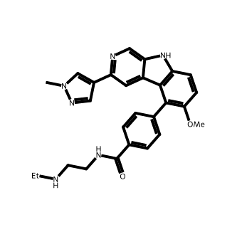 CCNCCNC(=O)c1ccc(-c2c(OC)ccc3[nH]c4cnc(-c5cnn(C)c5)cc4c23)cc1